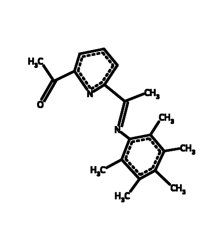 CC(=O)c1cccc(/C(C)=N/c2c(C)c(C)c(C)c(C)c2C)n1